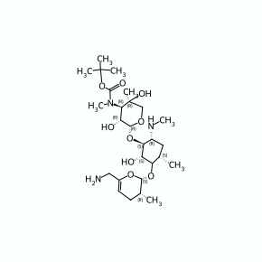 CN[C@@H]1C[C@H](C)C(O[C@H]2OC(CN)=CC[C@H]2C)[C@H](O)[C@H]1O[C@H]1OC[C@](C)(O)[C@H](N(C)C(=O)OC(C)(C)C)[C@H]1O